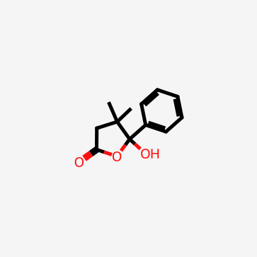 CC1(C)CC(=O)OC1(O)c1ccccc1